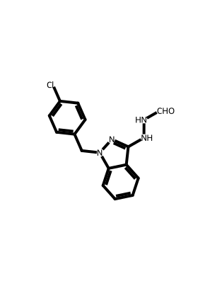 O=CNNc1nn(Cc2ccc(Cl)cc2)c2ccccc12